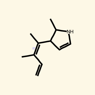 C=C/C(C)=C(/C)C1C=CNC1C